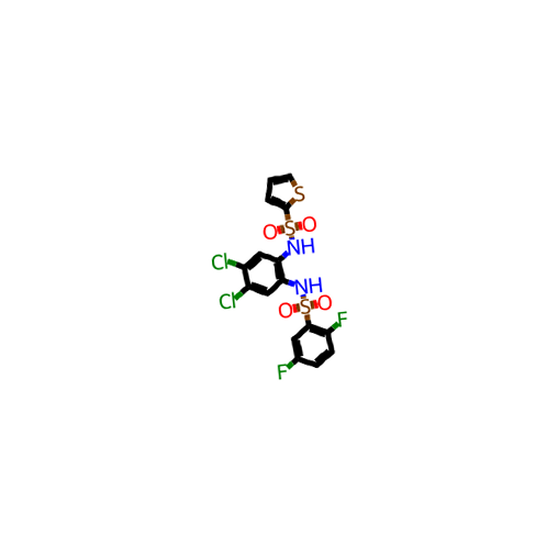 O=S(=O)(Nc1cc(Cl)c(Cl)cc1NS(=O)(=O)c1cc(F)ccc1F)c1cccs1